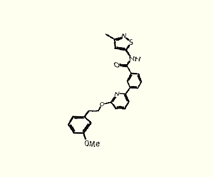 COc1cccc(CCOc2cccc(-c3cccc(C(=O)Nc4cc(C)ns4)c3)n2)c1